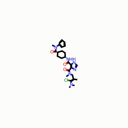 CC(CN(C)C(=O)c1nc[nH]c1C(=O)N[C@H]1CC[C@H](C(=O)N(C)c2ccccc2)CC1)=C(Cl)N(C)C